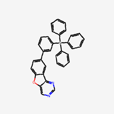 c1ccc([Si](c2ccccc2)(c2ccccc2)c2cccc(-c3ccc4oc5cncnc5c4c3)c2)cc1